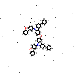 c1ccc(-c2ccc3c(c2)c2cc(Oc4ccc5c(c4)c4cc(-c6ccccc6)ccc4n5-c4ccc5oc6ccccc6c5c4)ccc2n3-c2ccc3oc4ccccc4c3c2)cc1